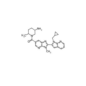 CC1CCC(N)CN1C(=O)c1cnc2c(c1)nc(-c1cc3cccnc3n1CC1CC1)n2C